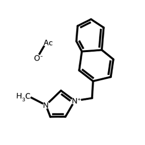 CC(=O)[O-].Cn1cc[n+](Cc2ccc3ccccc3c2)c1